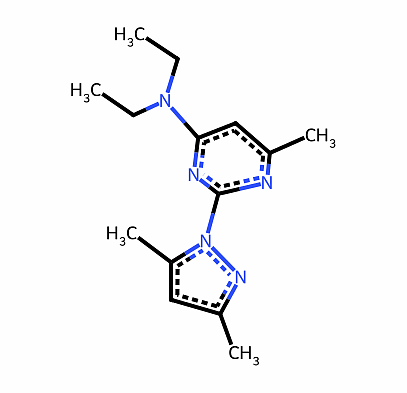 CCN(CC)c1cc(C)nc(-n2nc(C)cc2C)n1